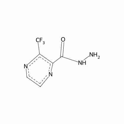 NNC(=O)c1nccnc1C(F)(F)F